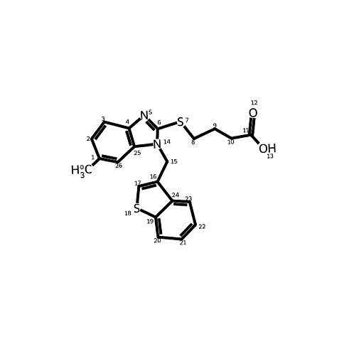 Cc1ccc2nc(SCCCC(=O)O)n(Cc3csc4ccccc34)c2c1